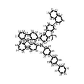 CC1(C)c2cc(-c3cccc4ccccc34)ccc2-c2ccc(N(c3ccc(-c4ccc(-c5ccccc5)cc4)cc3)c3ccc4c(c3)C3(c5ccccc5-c5ccccc53)c3ccccc3-4)cc21